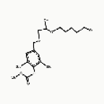 CC(C)CCCCCOC(O)CSCc1cc(C(C)(C)C)c(OC(=O)OC(C)(C)C)c(C(C)(C)C)c1